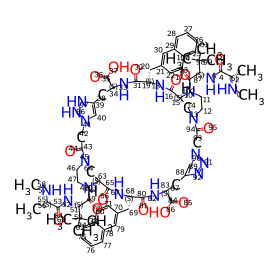 CN[C@@H](C)C(=O)N[C@H](C(=O)N1CCN2C[C@H]1C(=O)N[C@@H](Cc1ccc3ccccc3c1)C(=O)N[C@H](C(=O)O)CC1=CN(CC(=O)N3CCN(C(=O)[C@@H](NC(=O)[C@H](C)NC)C(C)(C)C)[C@@H](C3)C(=O)N[C@@H](Cc3ccc4ccccc4c3)C(=O)N[C@H](C(=O)O)Cc3cn(nn3)CC2=O)NN1)C(C)(C)C